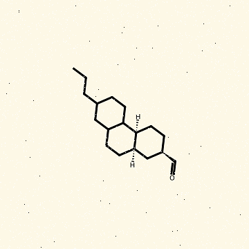 CCCC1CCC2C(CC[C@@H]3C[C@H](C=O)CC[C@H]23)C1